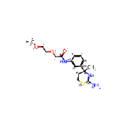 COCCOCC(=O)Nc1cccc(C2(C)CCSC(N)=N2)c1